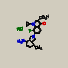 CC1C=CC(N)C2CN(c3ccc4c(=O)c(C(=O)O)cn(C5CC5)c4c3F)CC12.Cl